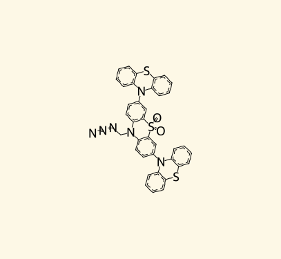 [N-]=[N+]=NCN1c2ccc(N3c4ccccc4Sc4ccccc43)cc2S(=O)(=O)c2cc(N3c4ccccc4Sc4ccccc43)ccc21